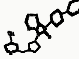 O=c1n(-c2ccc(-c3ccccc3)cc2)c2cccnc2n1[C@H]1CCN(Cc2cc(O)ccn2)C1